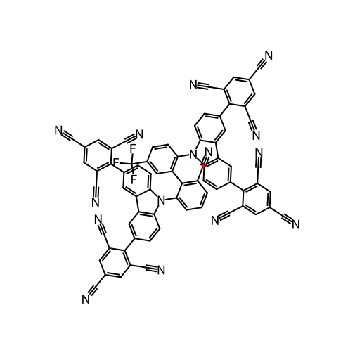 N#Cc1cc(C#N)c(-c2ccc3c(c2)c2cc(-c4c(C#N)cc(C#N)cc4C#N)ccc2n3-c2ccc(C(F)(F)F)cc2-c2c(C#N)cccc2-n2c3ccc(-c4c(C#N)cc(C#N)cc4C#N)cc3c3cc(-c4c(C#N)cc(C#N)cc4C#N)ccc32)c(C#N)c1